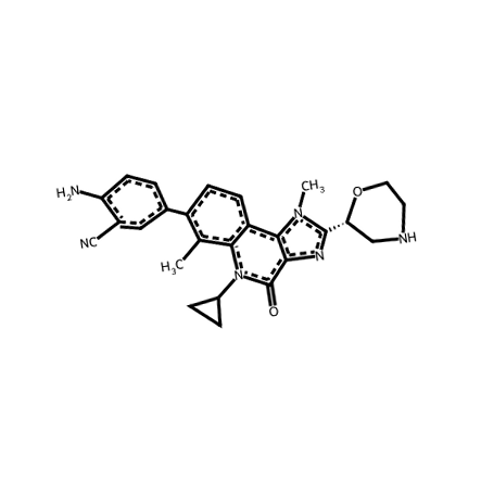 Cc1c(-c2ccc(N)c(C#N)c2)ccc2c3c(nc([C@H]4CNCCO4)n3C)c(=O)n(C3CC3)c12